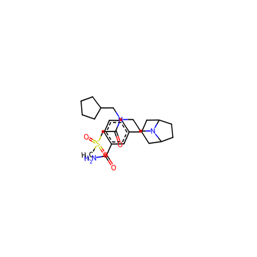 CS(=O)(=O)CC(=O)N(CCN1C2CCC1CC(c1cccc(C(N)=O)c1)C2)CC1CCCC1